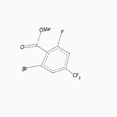 COC(=O)c1c(F)cc(C(F)(F)F)cc1Br